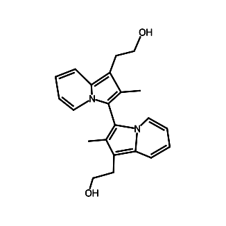 Cc1c(CCO)c2ccccn2c1-c1c(C)c(CCO)c2ccccn12